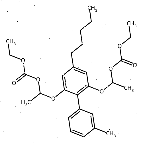 CCCCCc1cc(OC(C)OC(=O)OCC)c(-c2cccc(C)c2)c(OC(C)OC(=O)OCC)c1